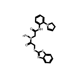 CCCN(CC(=O)Nc1ccccc1N1C=CCC1)C(=O)CSc1nc2ccccc2s1